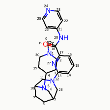 CC(C)N1CCC(N2CC3CCC2CN(c2cccc(C(=O)Nc4ccncc4)n2)C3)CC1